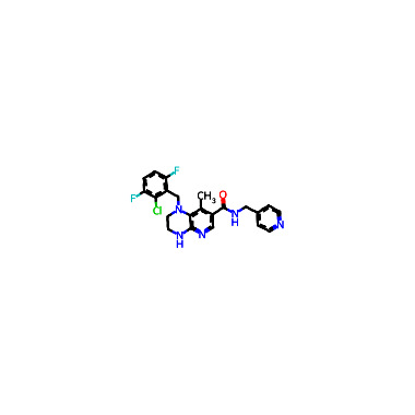 Cc1c(C(=O)NCc2ccncc2)cnc2c1N(Cc1c(F)ccc(F)c1Cl)CCN2